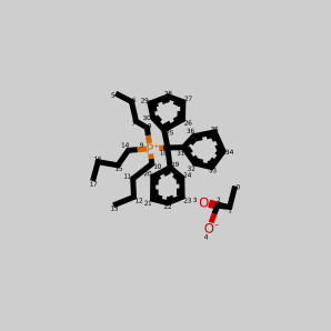 CCC(=O)[O-].CCCC[P+](CCCC)(CCCC)C(c1ccccc1)(c1ccccc1)c1ccccc1